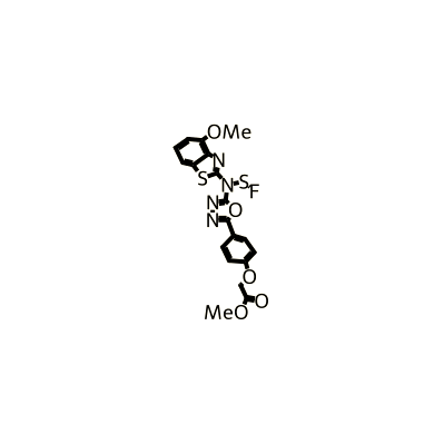 COC(=O)COc1ccc(-c2nnc(N(SF)c3nc4c(OC)cccc4s3)o2)cc1